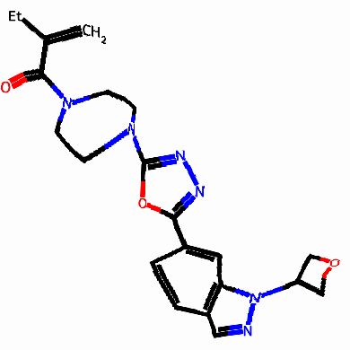 C=C(CC)C(=O)N1CCN(c2nnc(-c3ccc4cnn(C5COC5)c4c3)o2)CC1